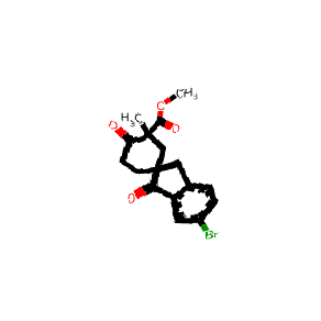 COC(=O)C1(C)CC2(CCC1=O)Cc1ccc(Br)cc1C2=O